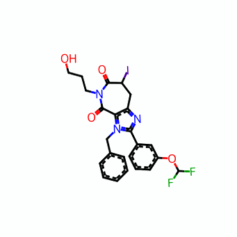 O=C1c2c(nc(-c3cccc(OC(F)F)c3)n2Cc2ccccc2)CC(I)C(=O)N1CCCO